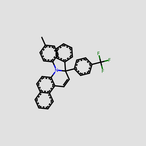 Cc1ccc(N2c3ccc4ccccc4c3C=CC2(c2ccccc2)c2ccc(C(F)(F)F)cc2)cc1